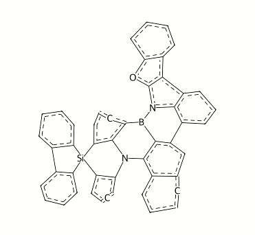 c1ccc2c(c1)-c1ccccc1[Si]21c2ccccc2N2c3c(cccc31)B1c3c(cc4ccccc4c32)-c2cccc3c4c5ccccc5oc4n1c23